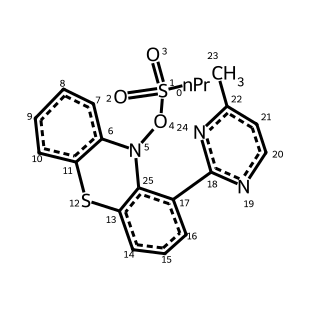 CCCS(=O)(=O)ON1c2ccccc2Sc2cccc(-c3nccc(C)n3)c21